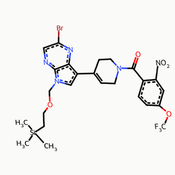 C[Si](C)(C)CCOCn1cc(C2=CCN(C(=O)c3ccc(OC(F)(F)F)cc3[N+](=O)[O-])CC2)c2nc(Br)cnc21